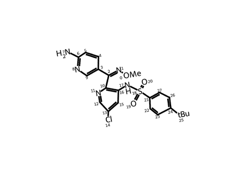 CON=C(c1ccc(N)nc1)c1ncc(Cl)cc1NS(=O)(=O)c1ccc(C(C)(C)C)cc1